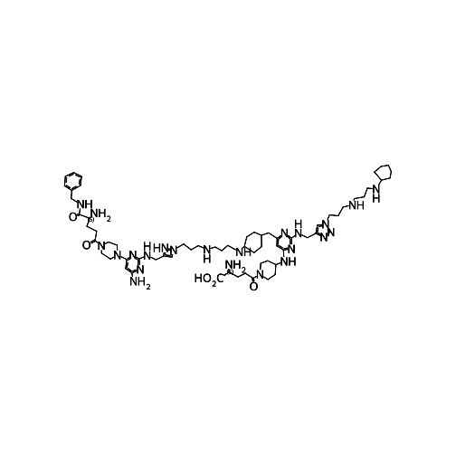 Nc1cc(N2CCN(C(=O)CC[C@H](N)C(=O)NCc3ccccc3)CC2)nc(NCc2cn(CCCNCCCNC3CCC(Cc4cc(NC5CCN(C(=O)CC[C@H](N)C(=O)O)CC5)nc(NCc5cn(CCCNCCCNC6CCCCC6)nn5)n4)CC3)[nH]2)n1